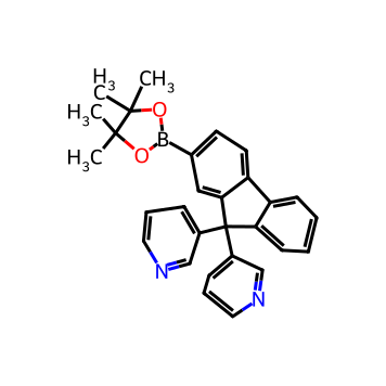 CC1(C)OB(c2ccc3c(c2)C(c2cccnc2)(c2cccnc2)c2ccccc2-3)OC1(C)C